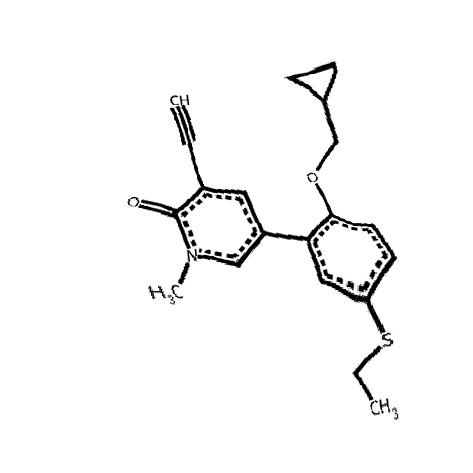 C#Cc1cc(-c2cc(SCC)ccc2OCC2CC2)cn(C)c1=O